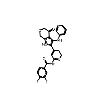 O=C(NC1=NCCC(c2[nH]c3c(c2NC2=C=C=CC=C2)C(=O)COC3)=C1)c1ccc(F)c(F)c1